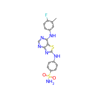 Cc1cc(Nc2ncnc3nc(Nc4ccc(S(N)(=O)=O)cc4)sc23)ccc1F